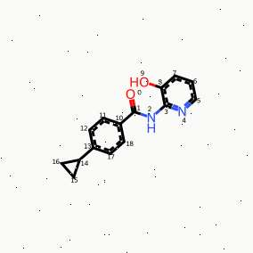 O=C(Nc1ncccc1O)c1ccc(C2CC2)cc1